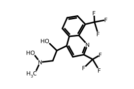 CN(O)CC(O)c1cc(C(F)(F)F)nc2c(C(F)(F)F)cccc12